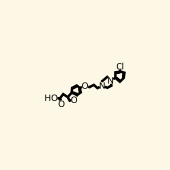 O=C(O)CC1COc2cc(OCCCN3CCN(c4cccc(Cl)c4)CC3)ccc21